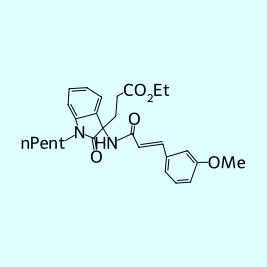 CCCCCN1C(=O)C(CCC(=O)OCC)(NC(=O)C=Cc2cccc(OC)c2)c2ccccc21